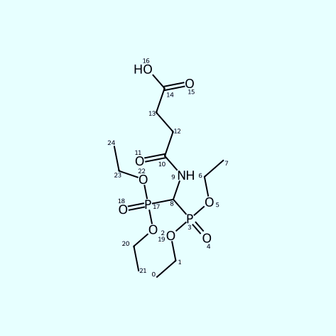 CCOP(=O)(OCC)C(NC(=O)CCC(=O)O)P(=O)(OCC)OCC